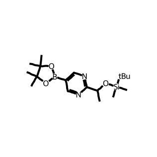 CC(O[Si](C)(C)C(C)(C)C)c1ncc(B2OC(C)(C)C(C)(C)O2)cn1